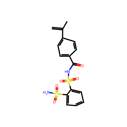 C=C(C)c1ccc(C(=O)NS(=O)(=O)c2ccccc2S(N)(=O)=O)cc1